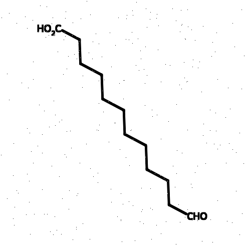 O=CCCCCCCCCCCC(=O)O